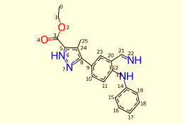 CCOC(=O)c1[nH]nc(-c2ccc(Nc3ccccc3)c(C=N)c2)c1C